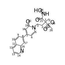 CC(CCn1ccc(-c2ccc3cccnc3c2)cc1=O)(C(=O)NO)S(C)(=O)=O